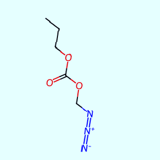 CCCOC(=O)OCN=[N+]=[N-]